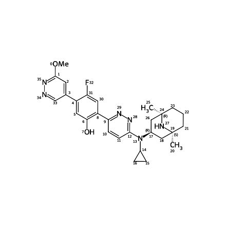 COc1cc(-c2cc(O)c(-c3ccc(N(C4CC4)[C@@H]4C[C@]5(C)CCC[C@](C)(C4)N5)nn3)cc2F)cnn1